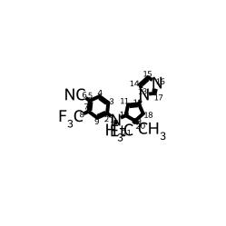 CCN(c1ccc(C#N)c(C(F)(F)F)c1)C1C=C(n2ccnc2)CC1(C)C